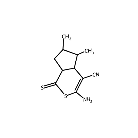 CC1CC2C(=S)SC(N)=C(C#N)C2C1C